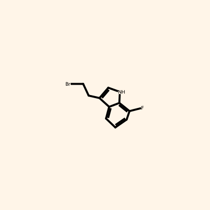 Fc1cccc2c(CCBr)c[nH]c12